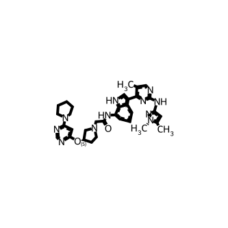 Cc1cnc(Nc2cc(C)n(C)n2)nc1-c1c[nH]c2c(NC(=O)CN3CC[C@H](Oc4cc(N5CCCCC5)ncn4)C3)cccc12